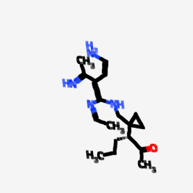 C\C=N/C(NCC1([C@@H](CCC)C(C)=O)CC1)=C(/C=C\N)C(C)=N